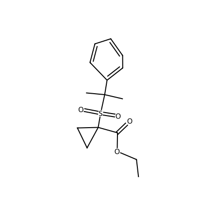 CCOC(=O)C1(S(=O)(=O)C(C)(C)c2ccccc2)CC1